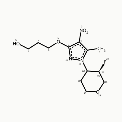 Cc1c([N+](=O)[O-])c(OCCCO)nn1C1CCOC[C@@H]1F